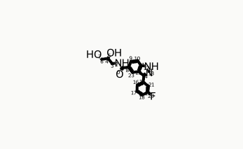 O=C(NCC(O)CO)c1ccc2[nH]nc(-c3cccc(F)c3)c2c1